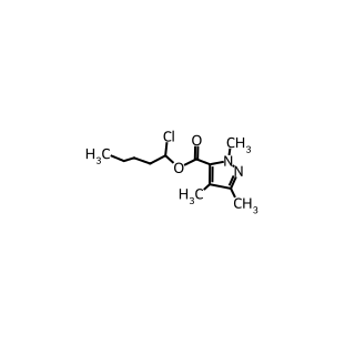 CCCCC(Cl)OC(=O)c1c(C)c(C)nn1C